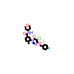 Cc1ccc(C(=O)NC2CCOCC2)cc1-n1cnc(OCc2ccc(F)cc2F)c(Cl)c1=O